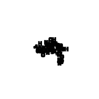 CC(C)C(=O)Nc1nc2c(ncn2[C@@H]2O[C@H](CO)C(O[Si](C)(C)C(C)(C)C)[C@H]2OP(=S)(OCCC#N)OC[C@H]2C[C@@H](Oc3ccncn3)C[C@@H]2O[PH](=O)O)c(=O)[nH]1